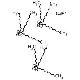 CCCCCCCCCCCCC(CCCCCCCCCCC)(CCCCCCCCCCCC)P(=O)([O-])[O-].CCCCCCCCCCCCC(CCCCCCCCCCC)(CCCCCCCCCCCC)P(=O)([O-])[O-].CCCCCCCCCCCCC(CCCCCCCCCCC)(CCCCCCCCCCCC)P(=O)([O-])[O-].[Co+3].[Co+3]